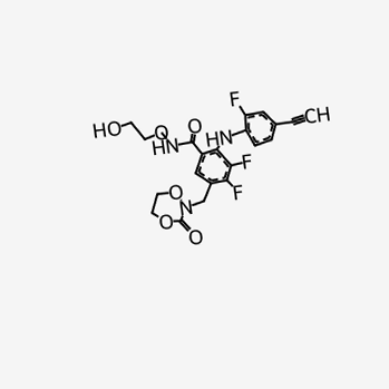 C#Cc1ccc(Nc2c(C(=O)NOCCO)cc(CN3OCCOC3=O)c(F)c2F)c(F)c1